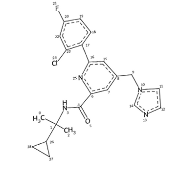 CC(C)(NC(=O)c1cc(Cn2ccnc2)cc(-c2ccc(F)cc2Cl)n1)C1CC1